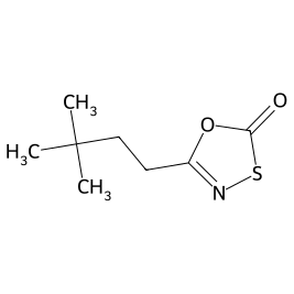 CC(C)(C)CCc1nsc(=O)o1